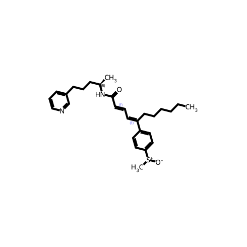 CCCCCC/C(=C\C=C\C(=O)N[C@H](C)CCCc1cccnc1)c1ccc([S+](C)[O-])cc1